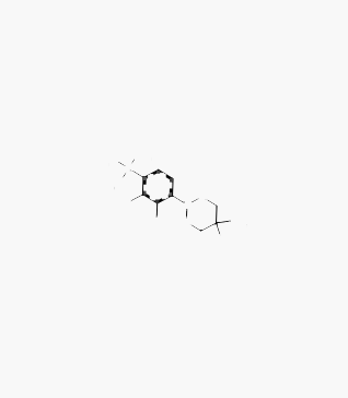 CC1(C)COB(c2ccc([Si](C)(C)C)c(F)c2F)OC1